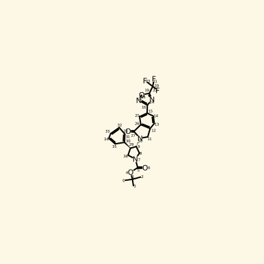 CC(C)(C)OC(=O)N1C[C@@H](N2Cc3ccc(-c4noc(C(F)(F)F)n4)cc3C2=O)[C@H](c2ccccc2)C1